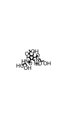 CC(O)C(=O)c1c(I)c(C(=O)NCC(O)CO)c(I)c(C(=O)NC(CO)CO)c1I